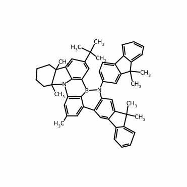 Cc1cc2c3c(c1)N1c4c(cc(C(C)(C)C)cc4C4(C)CCCCC14C)B3N(c1ccc3c(c1)C(C)(C)c1ccccc1-3)c1cc3c(cc1-2)-c1ccccc1C3(C)C